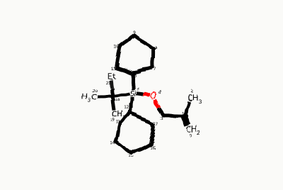 C=C(C)CO[Si](C1CCCCC1)(C1CCCCC1)C(C)(C)CC